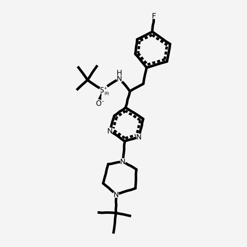 CC(C)(C)N1CCN(c2ncc(C(Cc3ccc(F)cc3)N[S@@+]([O-])C(C)(C)C)cn2)CC1